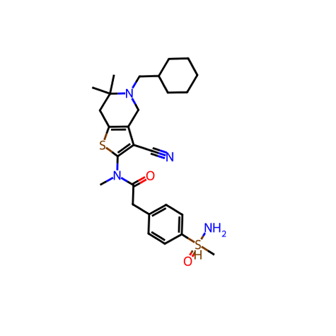 CN(C(=O)Cc1ccc([SH](C)(N)=O)cc1)c1sc2c(c1C#N)CN(CC1CCCCC1)C(C)(C)C2